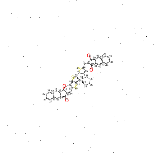 O=C1C(=Cc2cc3c(s2)-c2sc4cc(C=C5C(=O)c6cc7ccccc7cc6C5=O)sc4c2C32CCCCC2)C(=O)c2cc3ccccc3cc21